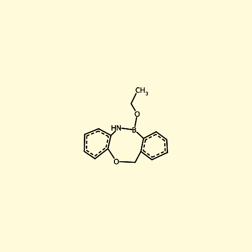 CCOB1Nc2ccccc2OCc2ccccc21